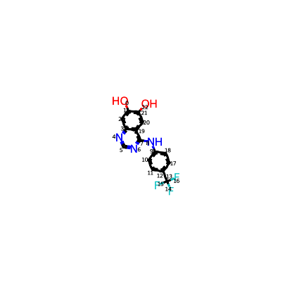 Oc1cc2ncnc(Nc3ccc(C(F)(F)F)cc3)c2cc1O